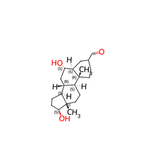 C[C@]12CCC(C=O)C[C@@H]1[C@@H](O)C[C@@H]1[C@@H]2CC[C@]2(C)[C@@H](O)CC[C@@H]12